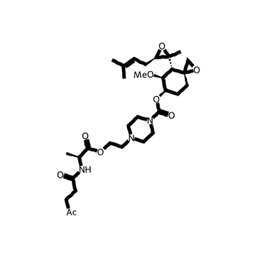 CO[C@H]1[C@H](C2(C)O[C@@H]2CC=C(C)C)[C@]2(CC[C@H]1OC(=O)N1CCN(CCOC(=O)[C@H](C)NC(=O)CCC(C)=O)CC1)CO2